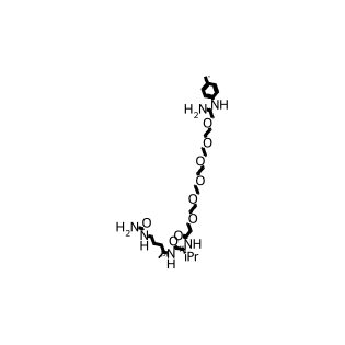 [CH2]c1ccc(NC(N)COCCOCCOCCOCCOCCOCCC(=O)N[C@H](C(=O)N[C@@H](C)CCCNC(N)=O)C(C)C)cc1